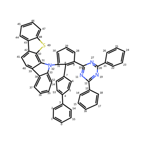 c1ccc(-c2ccc(-c3c(-c4nc(-c5ccccc5)nc(-c5ccccc5)n4)cccc3-n3c4ccccc4c4ccc5c6ccccc6sc5c43)cc2)cc1